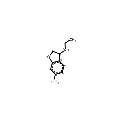 CCNC1COc2cc(C)ccc21